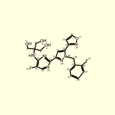 OCC(CO)(CO)Nc1nc(-c2cc(-c3ccon3)n(Cc3ccccc3F)n2)ncc1F